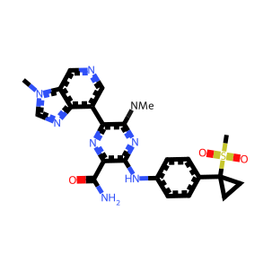 CNc1nc(Nc2ccc(C3(S(C)(=O)=O)CC3)cc2)c(C(N)=O)nc1-c1cncc2c1ncn2C